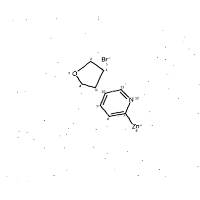 C1CCOC1.[Br-].[Zn+][c]1ccccn1